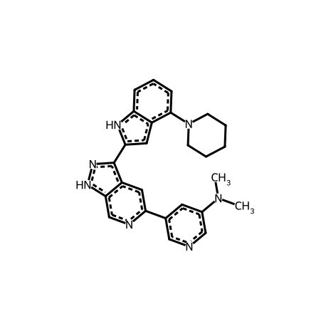 CN(C)c1cncc(-c2cc3c(-c4cc5c(N6CCCCC6)cccc5[nH]4)n[nH]c3cn2)c1